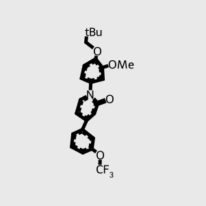 COc1cc(-n2ccc(-c3cccc(OC(F)(F)F)c3)cc2=O)ccc1OCC(C)(C)C